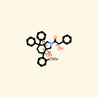 COc1ccccc1[C@]1(O)CCC(c2ccccc2)(c2ccccc2)[C@H]2CN(C(=O)[C@@H](O)c3ccccc3)C[C@H]21